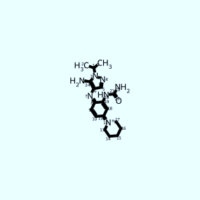 CC(C)n1ncc(/N=C2/C=CC(=[N+]3CCCCC3)C=C2NC(N)=O)c1N